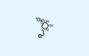 C/C(=C\C=C\[C@H](C)c1ccccn1)[C@H]1OC(=O)C[C@@H](O)CC[C@](C)(O)[C@H](OC(=O)N2CCN(C)CC2)/C=C/[C@@H]1C